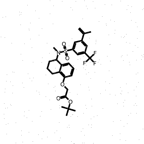 C=C(C)c1cc(C(F)(F)F)cc(S(=O)(=O)N(C)C2CCCc3c(OCC(=O)OC(C)(C)C)cccc32)c1